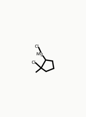 CC1(Cl)CCC[CH]1[Mg][Cl]